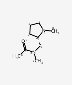 CC(=O)N(C)C[C@@H]1CCCN1C